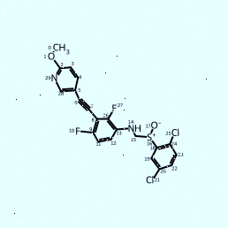 COc1ccc(C#Cc2c(F)ccc(NC[S+]([O-])c3cc(Cl)ccc3Cl)c2F)cn1